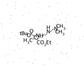 CCOC(=O)c1c(CCCNCCN(C)C)[nH]c(C(=O)OC(C)(C)C)c1C